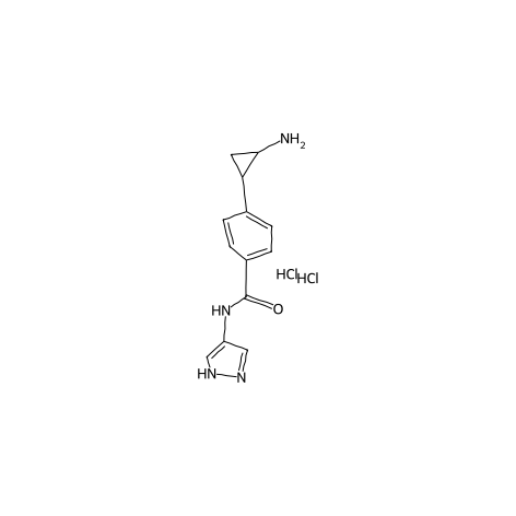 Cl.Cl.NC1CC1c1ccc(C(=O)Nc2cn[nH]c2)cc1